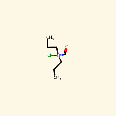 CCC[N+](Cl)(C=O)CCC